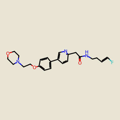 O=C(Cc1ccc(-c2ccc(OCCN3CCOCC3)cc2)cn1)NCC/C=C/F